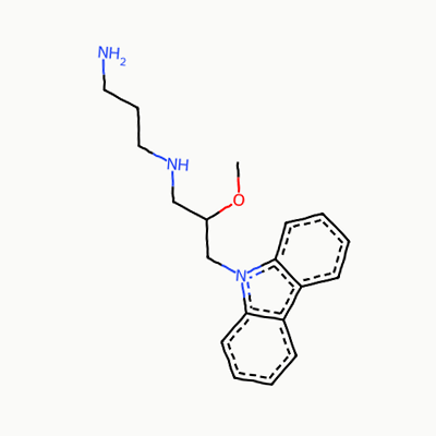 COC(CNCCCN)Cn1c2ccccc2c2ccccc21